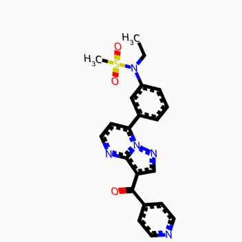 CCN(c1cccc(-c2ccnc3c(C(=O)c4ccncc4)cnn23)c1)S(C)(=O)=O